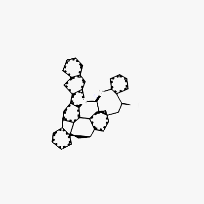 CC1CCC/C(n2c3cc4ccccc4cc3c3cc4c5c(c32)-c2ccccc2C(CC5)c2ccccc2-4)=N\c2ccccc21